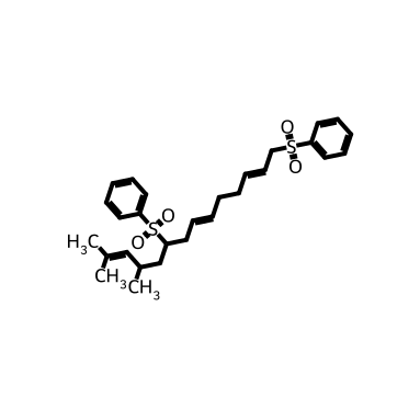 CC(C)=CC(C)CC(CC=CCCC=CCS(=O)(=O)c1ccccc1)S(=O)(=O)c1ccccc1